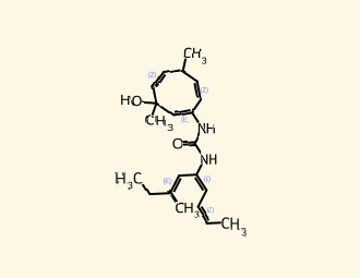 C\C=C/C=C(\C=C(/C)CC)NC(=O)NC1=C/C(C)(O)/C=C\C(C)/C=C\1